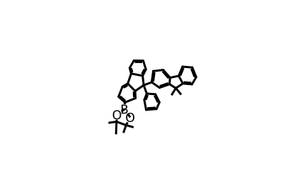 CC1(C)c2ccccc2-c2ccc(C3(c4ccccc4)c4ccccc4-c4ccc(B5OC(C)(C)C(C)(C)O5)cc43)cc21